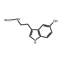 CONCCc1c[nH]c2ccc(O)cc12